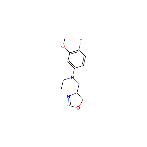 CCN(CC1CO[C]=N1)c1ccc(F)c(OC)c1